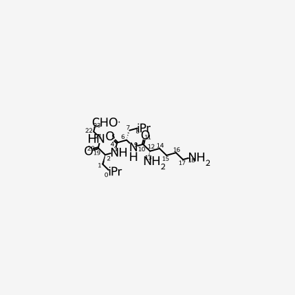 CC(C)C[C@H](NC(=O)[C@H](CC(C)C)NC(=O)[C@@H](N)CCCCN)C(=O)NC[C]=O